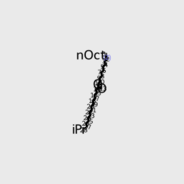 CCCCCCCC/C=C\CCCCCCCCOC(=O)CCCCCCCCCCCCCCC(C)C